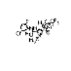 C[C@@H](NS(=O)(=O)c1cc(C(=O)Nc2c(F)ccc(Cl)c2F)n(C)c1)C(F)(F)F